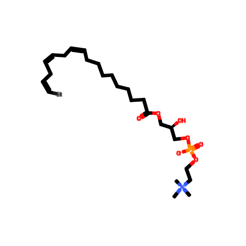 CC/C=C\C/C=C\C/C=C\CCCCCCCCC(=O)OC[C@@H](O)COP(=O)([O-])OCC[N+](C)(C)C